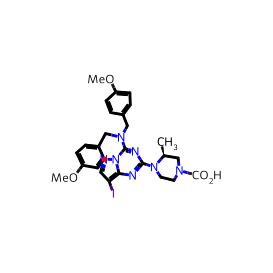 COc1ccc(CN(Cc2ccc(OC)cc2)c2nc(N3CCN(C(=O)O)C[C@@H]3C)nc3c(I)cnn23)cc1